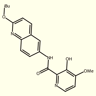 CCC(C)Oc1ccc2cc(NC(=O)c3nccc(OC)c3O)ccc2n1